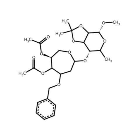 CO[C@@H]1OC(C)[C@H](OC2CC(OCc3ccccc3)C(OC(C)=O)[C@@H](OC(C)=O)CO2)C2OC(C)(C)OC21